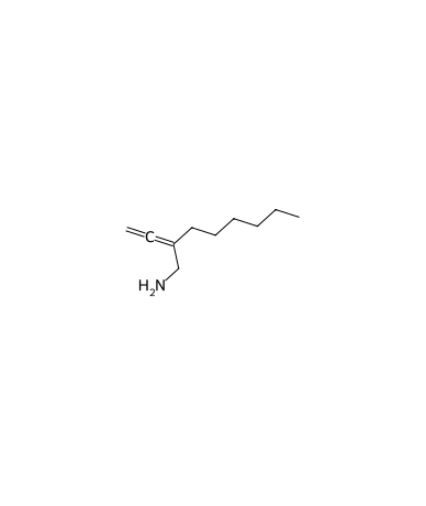 C=C=C(CN)CCCCCC